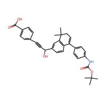 CC(C)(C)OC(=O)Nc1ccc(C2=CCC(C)(C)c3cc(C(O)C#Cc4ccc(C(=O)O)cc4)ccc32)cc1